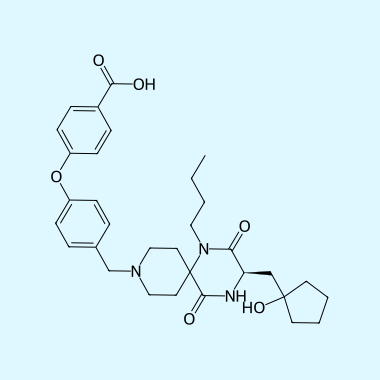 CCCCN1C(=O)[C@@H](CC2(O)CCCC2)NC(=O)C12CCN(Cc1ccc(Oc3ccc(C(=O)O)cc3)cc1)CC2